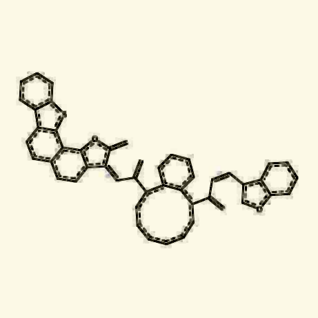 C=C(/C=C\c1coc2ccccc12)c1ccccccc(C(=C)/C=c2\c(=C)oc3c2ccc2ccc4c5ccccc5sc4c23)c2ccccc12